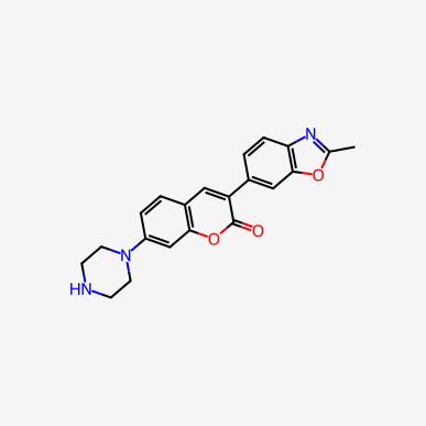 Cc1nc2ccc(-c3cc4ccc(N5CCNCC5)cc4oc3=O)cc2o1